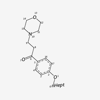 CCCCCCCOc1ccc(C(=O)CCN2CCOCC2)cc1